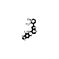 CCN1CCC=C(c2cc3c(Nc4c(F)cc5scnc5c4F)ccnc3s2)[C@H]1C